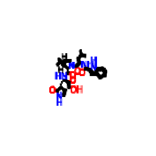 CC(C)CC(NC(=O)c1cc2ccccc2[nH]1)C(=O)N1C[C@H]2[C@@H]([C@H]1C(=O)N[C@@H](C[C@@H]1CCNC1=O)C(=O)CO)C2(C)C